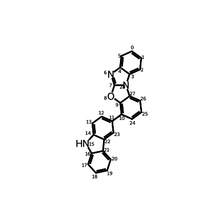 c1ccc2c(c1)nc1oc3c(-c4ccc5[nH]c6ccccc6c5c4)cccc3n12